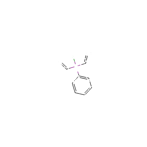 C=C[PH](Br)(C=C)c1ccccc1